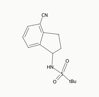 CC(C)(C)S(=O)(=O)NC1CCc2c(C#N)cccc21